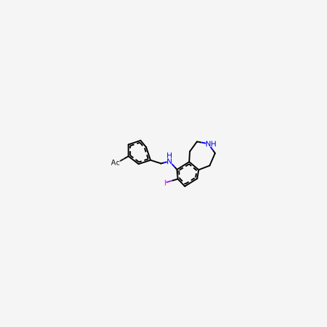 CC(=O)c1cccc(CNc2c(I)ccc3c2CCNCC3)c1